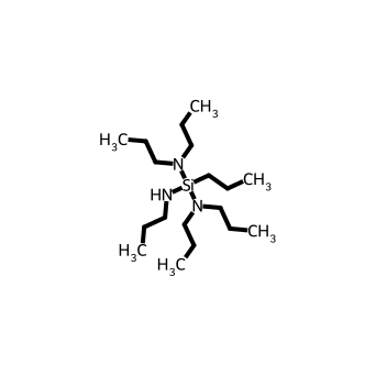 CCCN[Si](CCC)(N(CCC)CCC)N(CCC)CCC